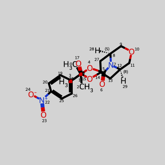 CC(C)(C)OC(=O)N1[C@@H]2COC[C@H]1CC(OC(=O)c1ccc([N+](=O)[O-])cc1)C2